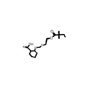 CCC(C)(C)C(=O)OCCOCOC1CCCCC1C(=O)O